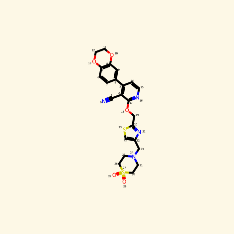 N#Cc1c(-c2ccc3c(c2)OCCO3)ccnc1OCc1nc(CN2CCS(=O)(=O)CC2)cs1